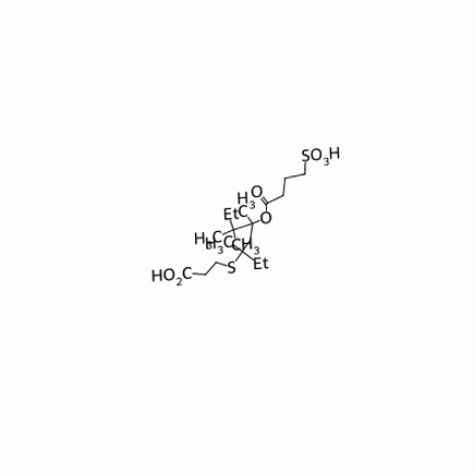 CCC(C)(CC(C)(OC(=O)CCCS(=O)(=O)O)C(C)(C)CC)SCCC(=O)O